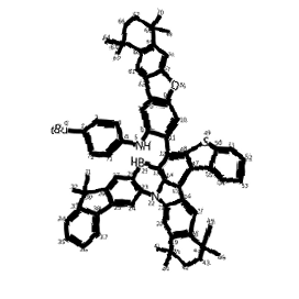 CC(C)(C)c1ccc(Nc2cc3c(cc2-c2c4c5c(c6cc7c(cc6n5-c5cc6c(cc5B4)C(C)(C)c4ccccc4-6)C(C)(C)CCC7(C)C)c4c2sc2ccccc24)oc2cc4c(cc23)C(C)(C)CCC4(C)C)cc1